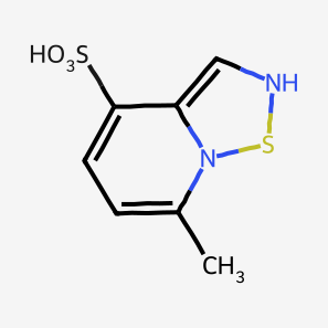 CC1=CC=C(S(=O)(=O)O)C2=CNSN12